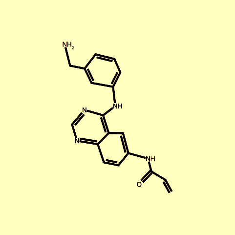 C=CC(=O)Nc1ccc2ncnc(Nc3cccc(CN)c3)c2c1